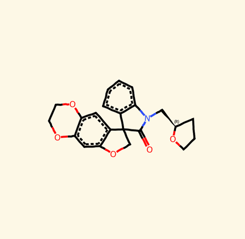 O=C1N(C[C@H]2CCCO2)c2ccccc2C12COc1cc3c(cc12)OCCO3